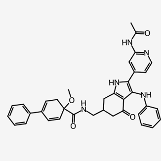 COC1(C(=O)NCC2CC(=O)c3c([nH]c(-c4ccnc(NC(C)=O)c4)c3Nc3ccccc3)C2)C=CC(c2ccccc2)=CC1